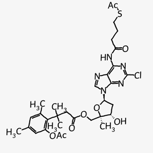 CC(=O)Oc1cc(C)cc(C)c1C(C)(C)CC(=O)OC[C@@]1(C)O[C@@H](n2cnc3c(NC(=O)CCCSC(C)=O)nc(Cl)nc32)C[C@@H]1O